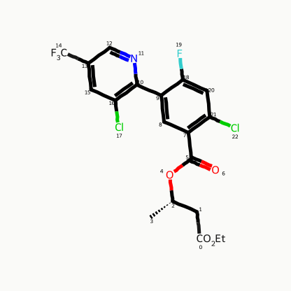 CCOC(=O)C[C@H](C)OC(=O)c1cc(-c2ncc(C(F)(F)F)cc2Cl)c(F)cc1Cl